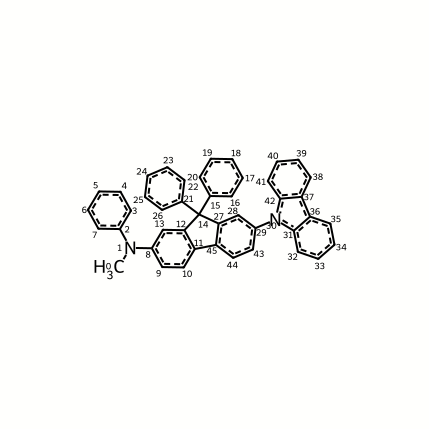 CN(c1ccccc1)c1ccc2c(c1)C(c1ccccc1)(c1ccccc1)c1cc(-n3c4ccccc4c4ccccc43)ccc1-2